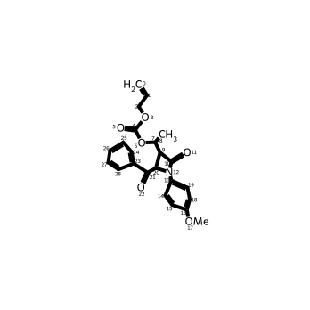 C=CCOC(=O)OC(C)C1C(=O)N(c2ccc(OC)cc2)C1C(=O)c1ccccc1